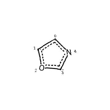 [c]1[c]o[c]n1